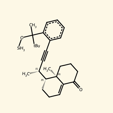 C[C@H](C#Cc1ccccc1C(C)(O[SiH3])C(C)(C)C)[C@H]1CCC=C2C(=O)CCC[C@@]21C